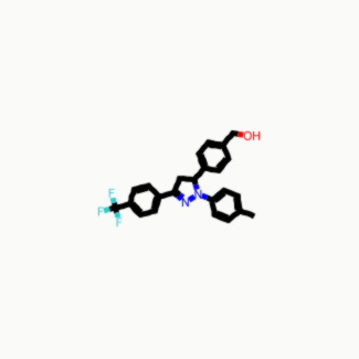 Cc1ccc(N2N=C(c3ccc(C(F)(F)F)cc3)CC2c2ccc(CO)cc2)cc1